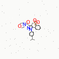 CC(C)c1ccc(-n2nc(C(=O)N3CCOCC3)c3c2-c2ccccc2S(=O)(=O)C3)cc1